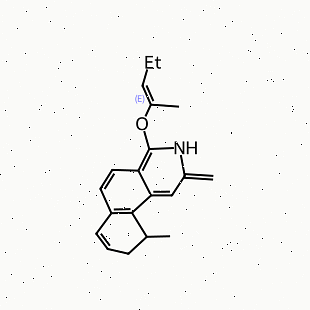 C=C1C=c2c3c(ccc2=C(O/C(C)=C/CC)N1)C=CCC3C